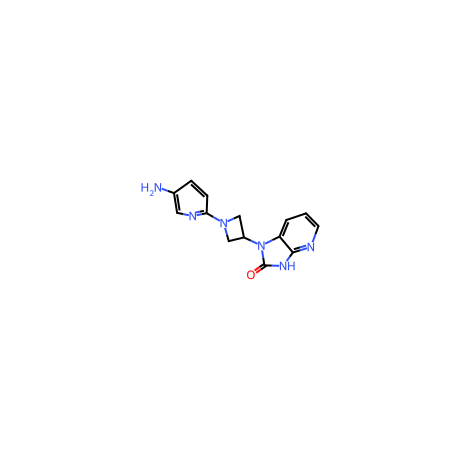 Nc1ccc(N2CC(n3c(=O)[nH]c4ncccc43)C2)nc1